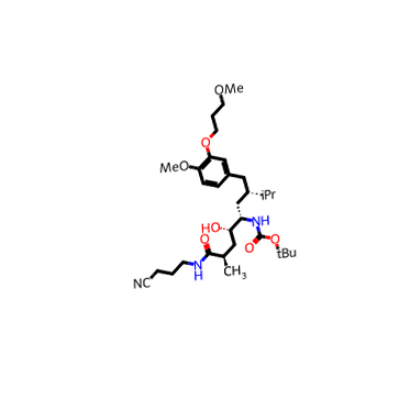 COCCCOc1cc(C[C@@H](C[C@H](NC(=O)OC(C)(C)C)[C@@H](O)C[C@@H](C)C(=O)NCCCC#N)C(C)C)ccc1OC